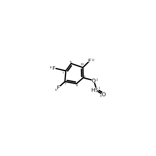 O=[SH]Oc1cc(F)c(F)cc1F